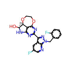 C[C@]12OCCOc3nc(-c4nn(Cc5ccccc5F)c5ncc(F)cc45)nc(c31)NC2O